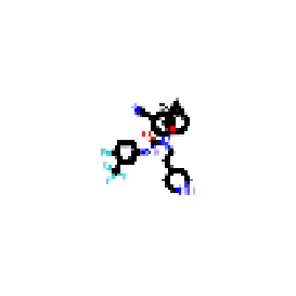 N#Cc1cccc([C@]23CC[C@@H](N(CCC4CCNCC4)C(=O)Nc4ccc(F)c(C(F)(F)F)c4)C[C@H]2C3)c1